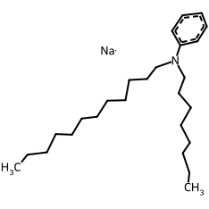 CCCCCCCCCCCCN(CCCCCCCC)c1ccccc1.[Na]